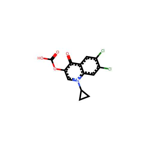 O=C(O)Oc1cn(C2CC2)c2cc(Cl)c(Cl)cc2c1=O